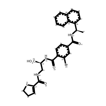 C[C@@H](NC(=O)c1ccc(C(=O)N[C@@H](CNC(=O)C2=CCCS2)C(=O)O)c(Br)c1)c1cccc2ccccc12